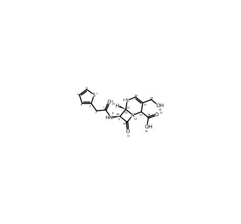 O=C(Cc1cccs1)N[C@@H]1C(=O)N2C(C(=O)O)C(CO)=CS[C@@H]12